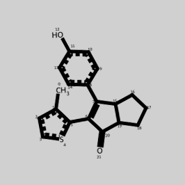 Cc1ccsc1C1=C(c2ccc(O)cc2)C2CCCC2C1=O